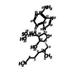 CN(CCCN)C[C@H]1O[C@@H](n2cnc3c(N)ncnc32)[C@H](O)[C@@H]1O.O=S(=O)(O)O